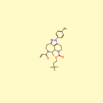 C=CC(=O)N1CCc2nn(-c3ccc(C(C)C)cc3)c3c2C(C1C)N(C(=O)OCC[Si](C)(C)C)CC3